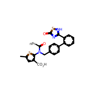 CCCC(=O)N(Cc1ccc(-c2ccccc2-c2nc(=O)s[nH]2)cc1)c1sc(C)cc1C(=O)O